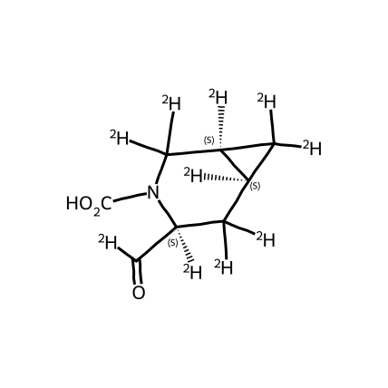 [2H]C(=O)[C@@]1([2H])N(C(=O)O)C([2H])([2H])[C@@]2([2H])C([2H])([2H])[C@@]2([2H])C1([2H])[2H]